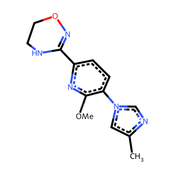 COc1nc(C2=NOCCN2)ccc1-n1cnc(C)c1